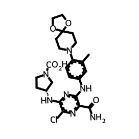 Cc1cc(Nc2nc(N[C@@H]3CCN(C(=O)O)C3)c(Cl)nc2C(N)=O)ccc1N1CCC2(CC1)OCCO2